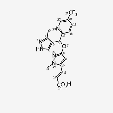 Cc1n[nH]cc1C(Oc1cc(/C=C/C(=O)O)n(C)n1)c1ccc(C(F)(F)F)cn1